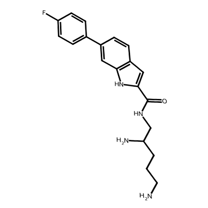 NCCCC(N)CNC(=O)c1cc2ccc(-c3ccc(F)cc3)cc2[nH]1